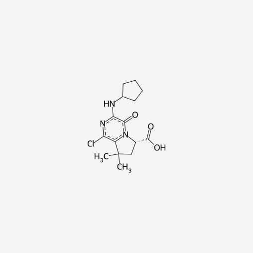 CC1(C)C[C@@H](C(=O)O)n2c1c(Cl)nc(NC1CCCC1)c2=O